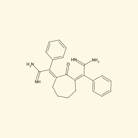 N=C(N)C(=C1CCCCC(=C(C(=N)N)c2ccccc2)C1=O)c1ccccc1